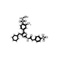 CCS(=O)(=O)c1ccc(CC(=O)Nc2nc(CC3CCCCC3)c(-c3ccc(S(=O)(=O)NC(C)(C)C)c(C(F)(F)F)c3)s2)cc1